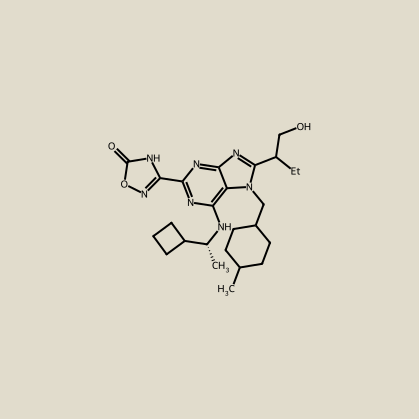 CCC(CO)c1nc2nc(-c3noc(=O)[nH]3)nc(N[C@H](C)C3CCC3)c2n1CC1CCC(C)CC1